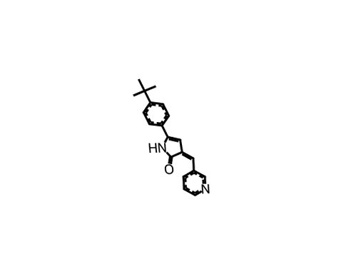 CC(C)(C)c1ccc(C2=CC(=Cc3cccnc3)C(=O)N2)cc1